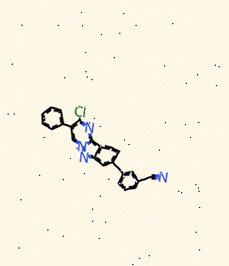 N#Cc1cccc(-c2ccc3c(c2)nn2cc(-c4ccccc4)c(Cl)nc32)c1